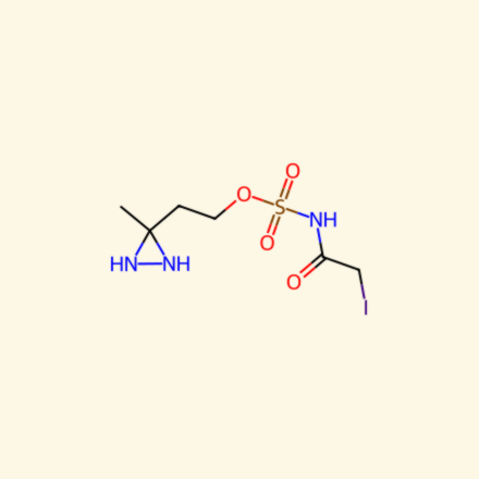 CC1(CCOS(=O)(=O)NC(=O)CI)NN1